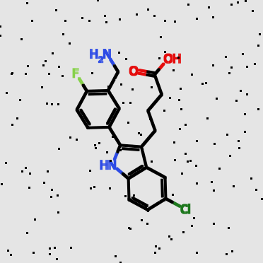 NCc1cc(-c2[nH]c3ccc(Cl)cc3c2CCCC(=O)O)ccc1F